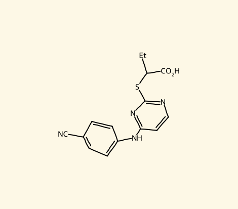 CCC(Sc1nccc(Nc2ccc(C#N)cc2)n1)C(=O)O